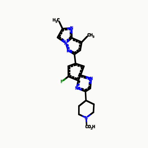 Cc1cn2nc(-c3cc(F)c4nc(C5CCN(C(=O)O)CC5)cnc4c3)cc(C)c2n1